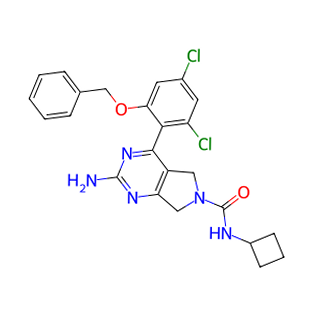 Nc1nc2c(c(-c3c(Cl)cc(Cl)cc3OCc3ccccc3)n1)CN(C(=O)NC1CCC1)C2